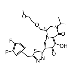 COCCOC[C@H]1CN(C(C)C)C(=O)c2c(O)c(=O)c(-c3nnc(Cc4ccc(F)c(F)c4)s3)cn21